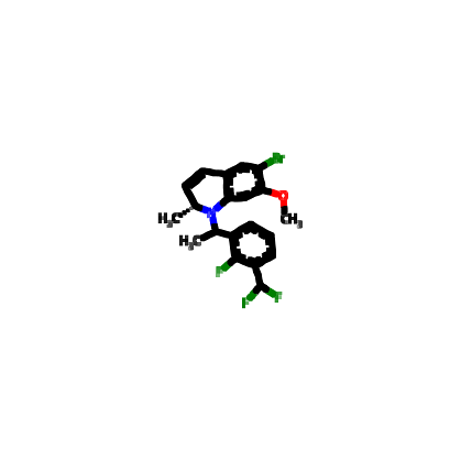 COc1cc2c(cc1Br)C=C[C@@H](C)N2C(C)c1cccc(C(F)F)c1F